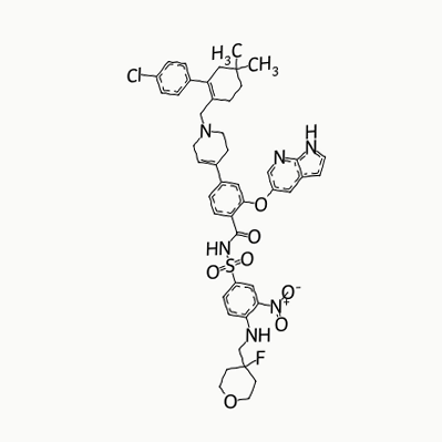 CC1(C)CCC(CN2CC=C(c3ccc(C(=O)NS(=O)(=O)c4ccc(NCC5(F)CCOCC5)c([N+](=O)[O-])c4)c(Oc4cnc5[nH]ccc5c4)c3)CC2)=C(c2ccc(Cl)cc2)C1